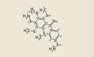 CSc1c(SN)c(SC)c(SC)c(C(=O)c2ccc(SN)cc2)c1SC